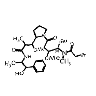 CCC(C)[C@H](C(CC(=O)N1CCCC1C(OC)C(C)C(=O)NC(C)C(O)c1ccccc1)OC)N(C)C(=O)CC(C)C